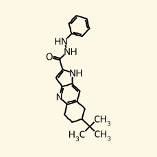 CC(C)(C)C1CCc2nc3cc(C(=O)NNc4ccccc4)[nH]c3cc2C1